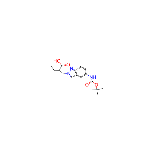 CCC(Cn1cc2cc(NC(=O)OC(C)(C)C)ccc2n1)C(=O)O